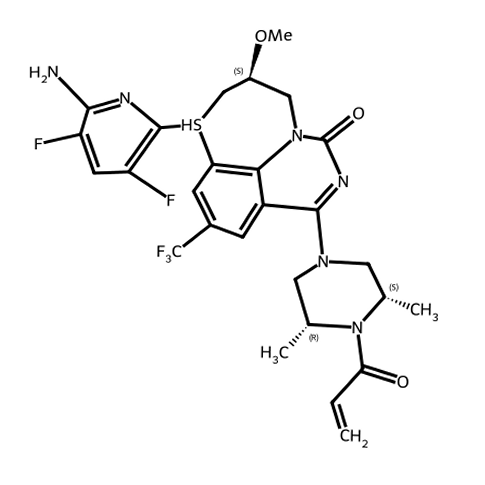 C=CC(=O)N1[C@H](C)CN(c2nc(=O)n3c4c(cc(C(F)(F)F)cc24)[SH](c2nc(N)c(F)cc2F)C[C@@H](OC)C3)C[C@@H]1C